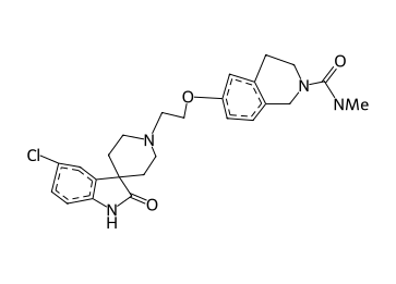 CNC(=O)N1CCc2cc(OCCN3CCC4(CC3)C(=O)Nc3ccc(Cl)cc34)ccc2C1